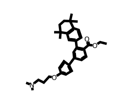 CCOC(=O)c1ccc(-c2ccc(OCCCN(C)C)cc2)cc1-c1ccc2c(c1)C(C)(C)CCC2(C)C